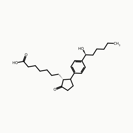 CCCCC[C@H](O)c1ccc(C2CCC(=O)[C@@H]2CCCCCCC(=O)O)cc1